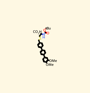 COc1ccc(-c2ccc(-c3ccc(CSCC(NC(=O)OC(C)(C)C)C(=O)O)cc3)cc2)cc1OC